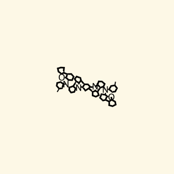 Cc1cccc(N(c2cccc3c2oc2ccccc23)c2cccc3c2c2cccc4c5cc6c(cc5n3c42)c2cccc3c4c(N(c5cccc(C)c5)c5cccc7c5oc5ccccc57)cccc4n6c23)c1